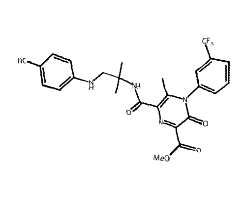 COC(=O)c1nc(C(=O)NC(C)(C)CNc2ccc(C#N)cc2)c(C)n(-c2cccc(C(F)(F)F)c2)c1=O